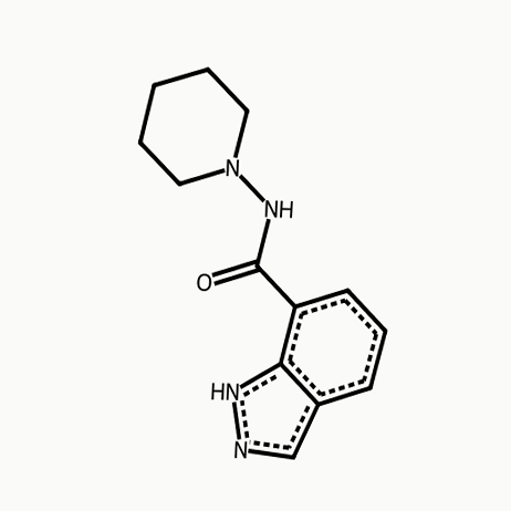 O=C(NN1CCCCC1)c1cccc2cn[nH]c12